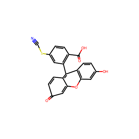 N#CSc1ccc(C(=O)O)c(-c2c3ccc(=O)cc-3oc3cc(O)ccc23)c1